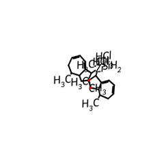 CC1CC=CC=C2C1CC(C)[CH]2[Zr]([CH3])([CH3])(=[SiH2])[CH]1C2=CC=CCC(C)C2CC1C.Cl.Cl